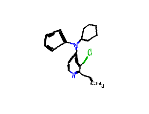 CCc1nccc(N(c2ccccc2)C2CCCCC2)c1Cl